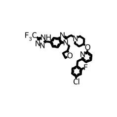 Fc1cc(Cl)ccc1Cc1cccc(OC2CCN(Cc3nc4cc(-c5nnc(C(F)(F)F)[nH]5)ccc4n3CC3CCO3)CC2)n1